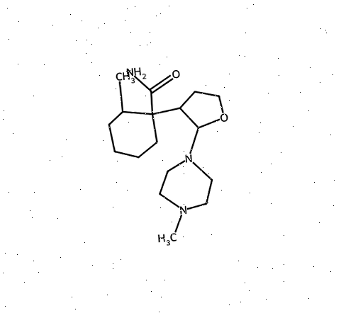 CC1CCCCC1(C(N)=O)C1CCOC1N1CCN(C)CC1